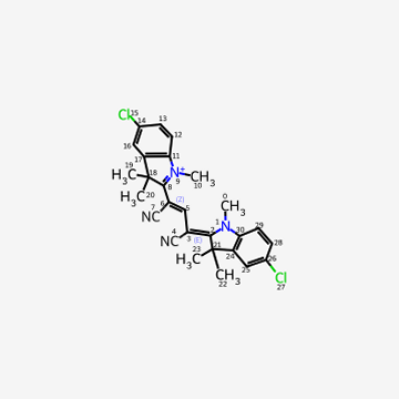 CN1/C(=C(C#N)\C=C(/C#N)C2=[N+](C)c3ccc(Cl)cc3C2(C)C)C(C)(C)c2cc(Cl)ccc21